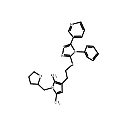 Cc1cc(CCSc2nnc(-c3cccnc3)n2-c2ccccc2)c(C)n1CC1CCCO1